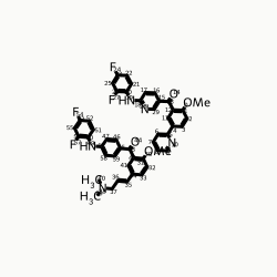 COc1ccc(-c2ccccn2)cc1C(=O)c1ccc(Nc2ccc(F)cc2F)nc1.COc1ccc(/C=C/CN(C)C)cc1C(=O)c1ccc(Nc2ccc(F)cc2F)cc1